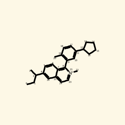 CCC(C)c1ccc2c(-c3cc(C4CCCC4)ccc3C)[n+](C)ccc2c1